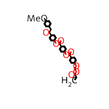 C=CC(=O)OCOc1ccc(C(=O)Oc2ccc(C(=O)Oc3ccc(C(=O)Cc4ccc(OC)cc4)cc3)cc2)cc1